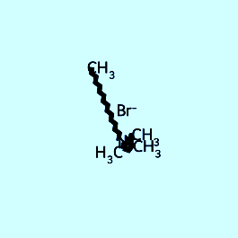 CCCCCCCCCCCCCCCC[n+]1c(C)cc(C)n1CC.[Br-]